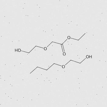 CCCCOCCO.CCOC(=O)COCCO